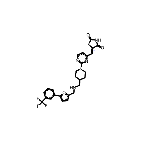 O=C1NC(=O)/C(=C/c2ccnc(N3CCC(CNCc4ccc(-c5cccc(C(F)(F)F)c5)o4)CC3)n2)S1